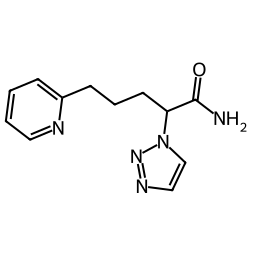 NC(=O)C(CCCc1ccccn1)n1ccnn1